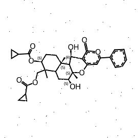 CC1(COC(=O)C2CC2)C2C[C@H](O)[C@@]3(C)Oc4cc(-c5ccccc5)oc(=O)c4[C@H](O)C3[C@@]2(C)CC[C@@H]1OC(=O)C1CC1